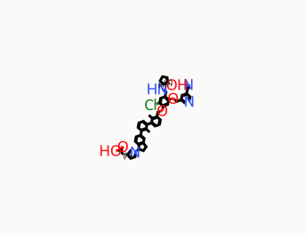 Cc1c(COc2cc(OCc3cncc(C#N)c3)c(CN[C@@H]3CCC[C@@H]3O)cc2Cl)cccc1-c1cccc(-c2ccc3c(c2)CCC3N2CC[C@H](CC(=O)O)C2)c1C